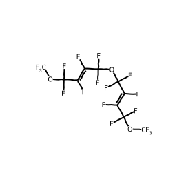 FC(=C(F)C(F)(F)OC(F)(F)C(F)=C(F)C(F)(F)OC(F)(F)F)C(F)(F)OC(F)(F)F